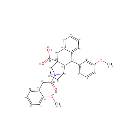 COc1cccc(C2c3ccccc3CC3(C(=O)O)C2C2CCC3N2C(=O)Cc2ccccc2OC)c1